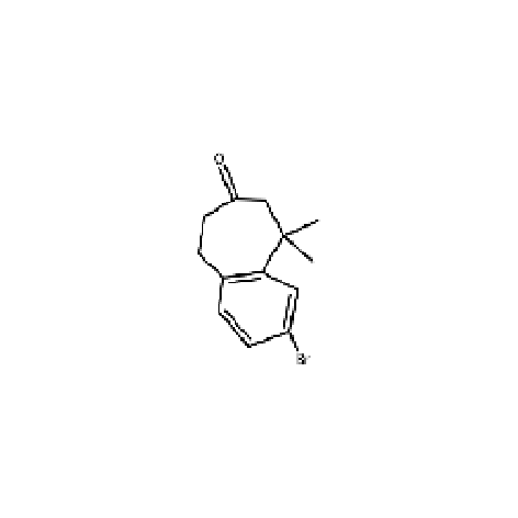 CC1(C)CC(=O)CCc2ccc(Br)cc21